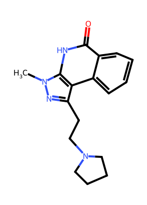 Cn1nc(CCN2CCCC2)c2c3ccccc3c(=O)[nH]c21